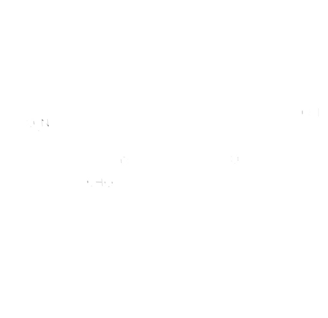 O=Cc1cc([N+](=O)[O-])ccc1OCCCCCOc1ccc(O)cc1